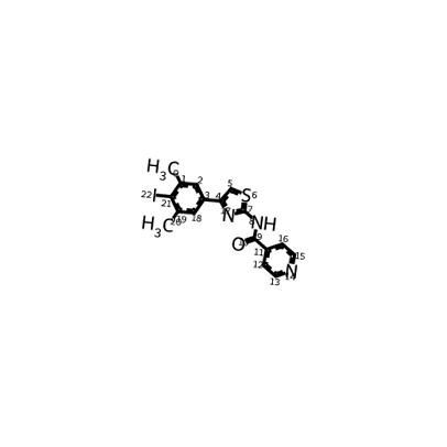 Cc1cc(-c2csc(NC(=O)c3ccncc3)n2)cc(C)c1I